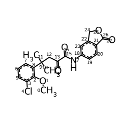 COc1c(Cl)cccc1C(C)(C)CC(=O)C(=O)Nc1ccc2c(c1)COC2=O